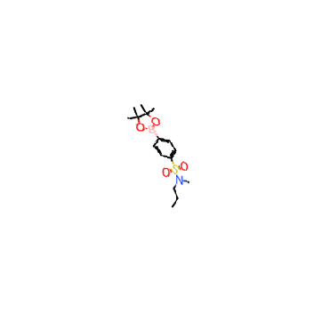 CCCN(C)S(=O)(=O)c1ccc(B2OC(C)(C)C(C)(C)O2)cc1